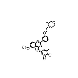 CCOc1ccc2nc(-c3cccc(OCCN4CCOCC4C)c3)nc(Nc3c[nH]c(=O)c(C)c3)c2c1